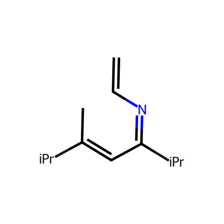 C=C/N=C(\C=C(/C)C(C)C)C(C)C